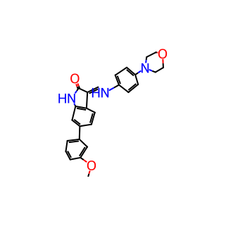 COc1cccc(-c2ccc3c(c2)NC(=O)/C3=C/Nc2ccc(N3CCOCC3)cc2)c1